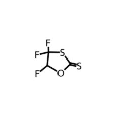 FC1OC(=S)SC1(F)F